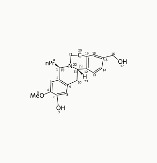 CCC[C@@H]1c2cc(OC)c(O)cc2C[C@H]2c3ccc(CO)cc3CCN12